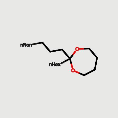 CCCCCCCCCCCCC1(CCCCCC)OCCCCO1